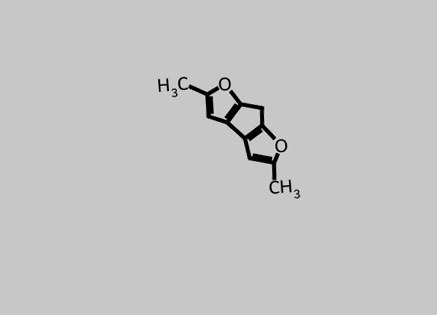 Cc1cc2c(o1)Cc1oc(C)cc1-2